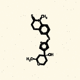 C[C@H]1C[C@@](O)(c2csc(Sc3ccc4c(c3)CCC(=S)N4C)c2)CCO1